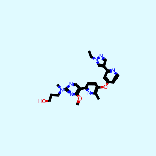 CCn1cc(-c2cc(Oc3ccc(-c4cnc(N(C)CCCO)nc4OC)nc3C)ccn2)cn1